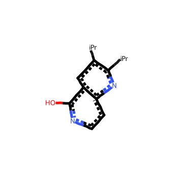 CC(C)c1cc2c(O)nccc2nc1C(C)C